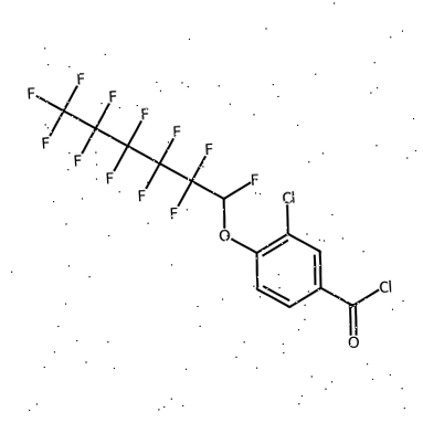 O=C(Cl)c1ccc(OC(F)C(F)(F)C(F)(F)C(F)(F)C(F)(F)C(F)(F)F)c(Cl)c1